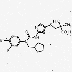 CC(C)(CSc1cnc(NC(=O)N(CC2CCCC2)c2ccc(Br)c(F)c2)s1)C(=O)O